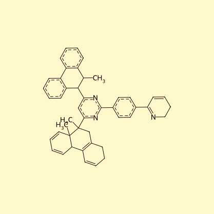 CC1c2ccccc2-c2ccccc2C1c1cc(C2(C)CC3=C(C=CCC3)C3C=CC=CC32C)nc(-c2ccc(C3=NCCC=C3)cc2)n1